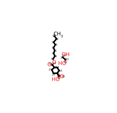 CCCCCCCCCCOC(=O)C1CCC(C(=O)O)CC1.OCCO